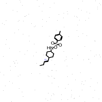 CC/C=C/C1CCC(NOS(=O)(=O)c2ccc(C)cc2)CC1